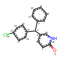 O=c1ccc(C(c2ccccc2)c2ccc(Cl)cc2)c[nH]1